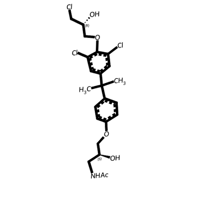 CC(=O)NC[C@H](O)COc1ccc(C(C)(C)c2cc(Cl)c(OC[C@@H](O)CCl)c(Cl)c2)cc1